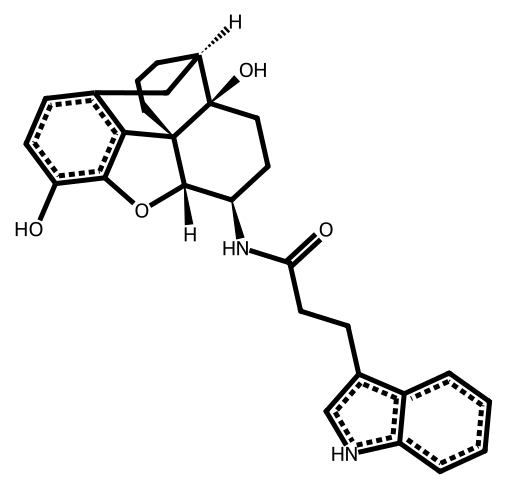 O=C(CCc1c[nH]c2ccccc12)N[C@@H]1CC[C@@]2(O)[C@@H]3CCC[C@@]24c2c(ccc(O)c2O[C@@H]14)C3